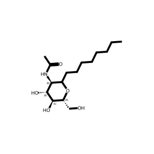 CCCCCCCCC1O[C@H](CO)[C@@H](O)[C@H](O)[C@H]1NC(C)=O